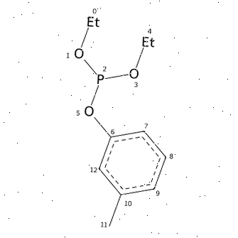 CCOP(OCC)Oc1cccc(C)c1